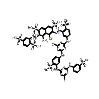 Nc1c(NNc2cc(S(=O)(=O)O)ccc2S(=O)(=O)O)c(S(=O)(=O)O)cc2cc(S(=O)(=O)O)c(/N=N/c3cc(Nc4nc(Cl)nc(Nc5ccc(S(=O)(=O)O)c(Nc6nc(Cl)nc(Nc7cccc(S(=O)(=O)O)c7)n6)c5)n4)ccc3S(=O)(=O)O)c(O)c12